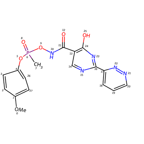 COc1ccc(OP(C)(=O)ONC(=O)c2cnc(-c3cccnn3)nc2O)cc1